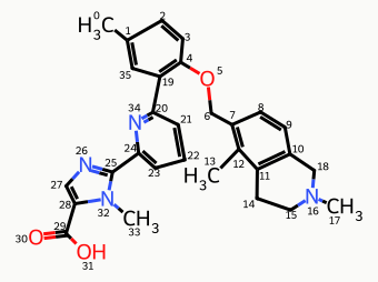 Cc1ccc(OCc2ccc3c(c2C)CCN(C)C3)c(-c2cccc(-c3ncc(C(=O)O)n3C)n2)c1